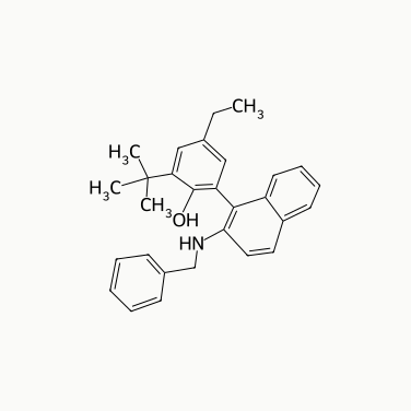 CCc1cc(-c2c(NCc3ccccc3)ccc3ccccc23)c(O)c(C(C)(C)C)c1